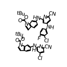 CC(C)(C)OC(=O)n1ccc2ccc(Nc3cc(Cl)cc(C#N)n3)cc21.CC(C)(C)OC(=O)n1ccc2ccc(Nc3cc(Nc4ccc(F)c(Cl)c4)cc(C#N)n3)cc21